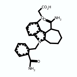 NC(=O)c1ccccc1Cn1c2c(c3c(OCC(=O)O)cccc31)C(C(N)=O)CCCC2